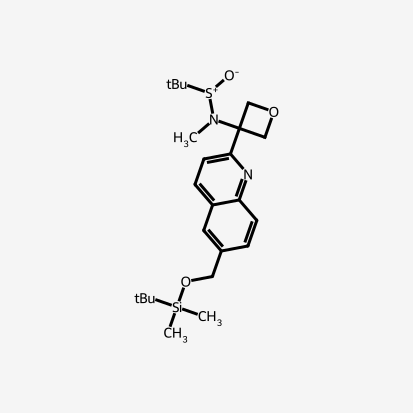 CN([S+]([O-])C(C)(C)C)C1(c2ccc3cc(CO[Si](C)(C)C(C)(C)C)ccc3n2)COC1